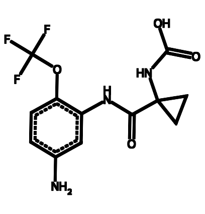 Nc1ccc(OC(F)(F)F)c(NC(=O)C2(NC(=O)O)CC2)c1